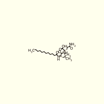 CCCCCCCCCCCC(=O)N[C@@H](CC(C)C)C(=O)N[C@@H](CCC(N)=O)C(=O)O